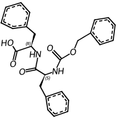 O=C(N[C@@H](Cc1ccccc1)C(=O)N[C@H](Cc1ccccc1)C(=O)O)OCc1ccccc1